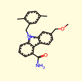 COCc1c[c]c2c3c(C(N)=O)cccc3n(Cc3cc(C)ccc3C)c2c1